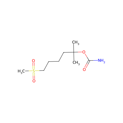 CC(C)(CCCCS(C)(=O)=O)OC(N)=O